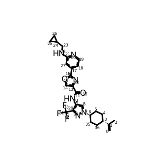 C=C(C)[C@H]1CC[C@@H](n2cc(NC(=O)c3coc(-c4ccnc(NCC5CC5)c4)n3)c(C(F)(F)F)n2)CC1